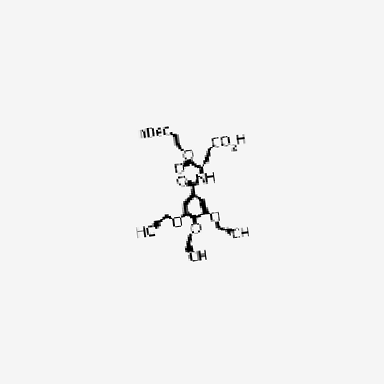 C#CCOc1cc(C(=O)N[C@H](CCC(=O)O)C(=O)OCCCCCCCCCCCC)cc(OCC#C)c1OCC#C